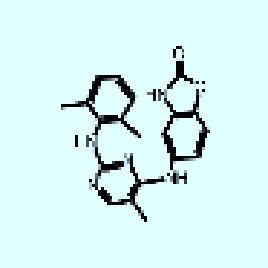 Cc1cnc(Nc2c(C)cccc2C)nc1Nc1ccc2oc(=O)[nH]c2c1